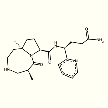 C[C@H]1CNCC[C@H]2CC[C@@H](C(=O)N[C@@H](CCC(N)=O)c3ccccn3)N2C1=O